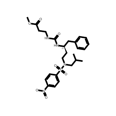 COC(=O)CCNC(=O)N[C@H](CCN(CC(C)C)S(=O)(=O)c1ccc([N+](=O)[O-])cc1)Cc1ccccc1